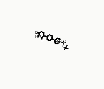 CC(C)(C)OC(=O)N1CC2CCC1CN2c1ccc(C2CCC(=O)NC2=O)cc1